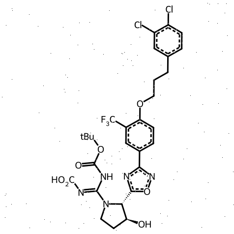 CC(C)(C)OC(=O)N/C(=N\C(=O)O)N1CC[C@H](O)[C@H]1c1nc(-c2ccc(OCCCc3ccc(Cl)c(Cl)c3)c(C(F)(F)F)c2)no1